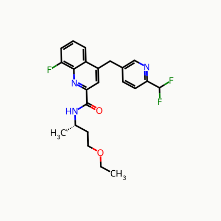 CCOCC[C@H](C)NC(=O)c1cc(Cc2ccc(C(F)F)nc2)c2cccc(F)c2n1